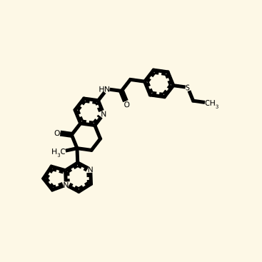 CCSc1ccc(CC(=O)Nc2ccc3c(n2)CCC(C)(c2nccn4cccc24)C3=O)cc1